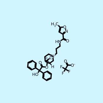 Cc1cc(C(=O)NCCC[N+]23CCC(CC2)[C@@H](OC(=O)C(O)(c2ccccc2)c2ccccc2)C3)no1.O=C([O-])C(F)(F)F